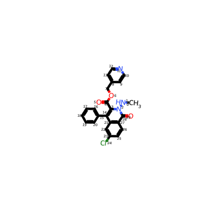 CNn1c(C(=O)OCc2ccncc2)c(-c2ccccc2)c2cc(Cl)ccc2c1=O